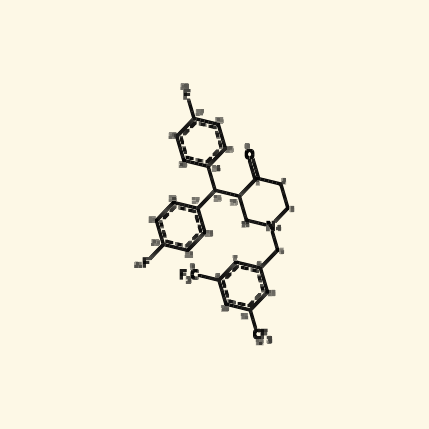 O=C1CCN(Cc2cc(C(F)(F)F)cc(C(F)(F)F)c2)CC1C(c1ccc(F)cc1)c1ccc(F)cc1